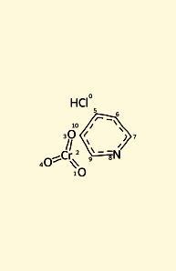 Cl.[O]=[Cr](=[O])=[O].c1ccncc1